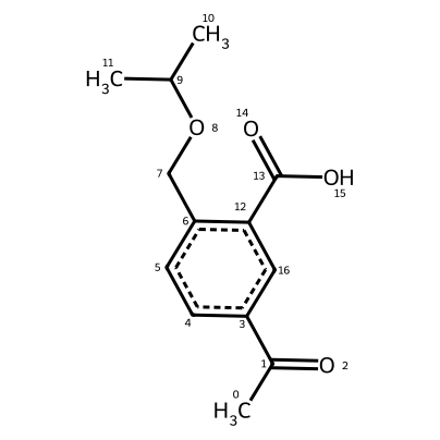 CC(=O)c1ccc(COC(C)C)c(C(=O)O)c1